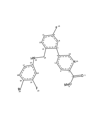 COC(=O)c1ccc(-c2cc(F)ccc2CNc2ccc(Br)c(F)c2)cn1